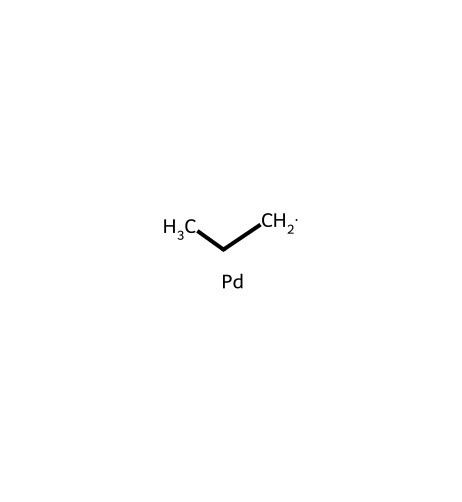 [CH2]CC.[Pd]